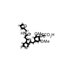 COc1cc(CC2=NC(CC(=O)NCc3ccco3)c3cc(F)ncc32)cc(OC)c1OCC(=O)O